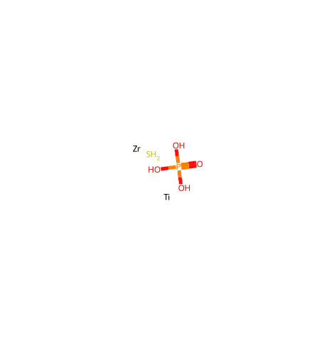 O=P(O)(O)O.S.[Ti].[Zr]